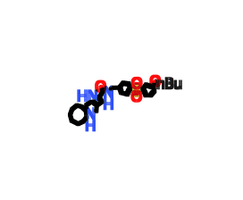 CCCCOc1cccc(S(=O)(=O)c2ccc(CNC(=O)c3cc4c([nH]3)CC3(CCCCCCCC3)NC4)cc2)c1